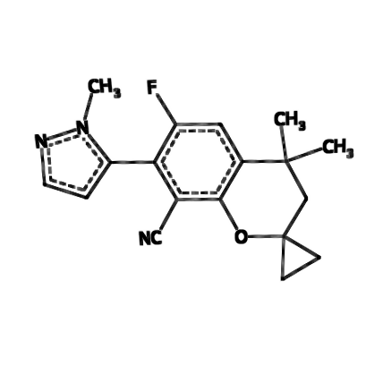 Cn1nccc1-c1c(F)cc2c(c1C#N)OC1(CC1)CC2(C)C